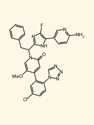 COc1cn(C(Cc2ccccc2)c2nc(F)c(-c3ccc(N)nc3)[nH]2)c(=O)cc1-c1cc(Cl)ccc1-n1cnnn1